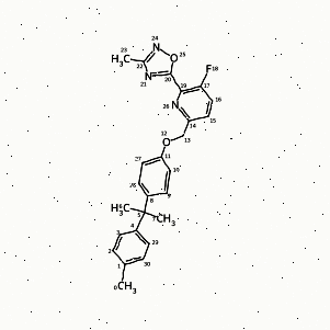 Cc1ccc(C(C)(C)c2ccc(OCc3ccc(F)c(-c4nc(C)no4)n3)cc2)cc1